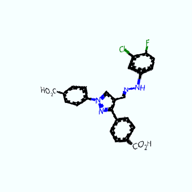 O=C(O)c1ccc(-c2nn(-c3ccc(C(=O)O)cc3)cc2/C=N/Nc2ccc(F)c(Cl)c2)cc1